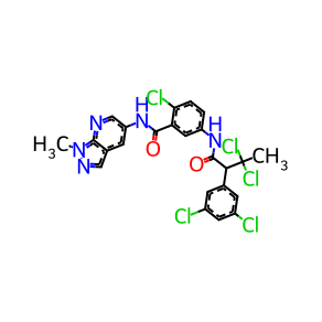 Cn1ncc2cc(NC(=O)c3cc(NC(=O)C(c4cc(Cl)cc(Cl)c4)C(C)(Cl)Cl)ccc3Cl)cnc21